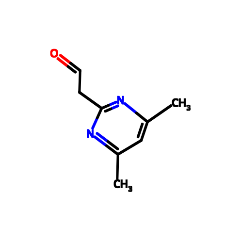 Cc1cc(C)nc(CC=O)n1